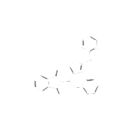 O=C1c2ccccc2C(=O)N1C(Cc1cccc(Cl)c1)c1csc(Nc2ncccn2)n1